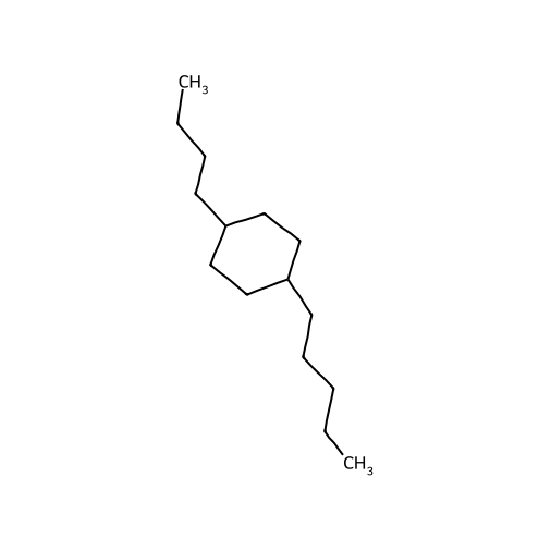 CCCCCC1CCC(CCCC)CC1